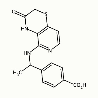 CC(Nc1nccc2c1NC(=O)CS2)c1ccc(C(=O)O)cc1